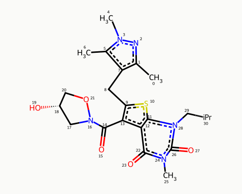 Cc1nn(C)c(C)c1Cc1sc2c(c1C(=O)N1C[C@H](O)CO1)c(=O)n(C)c(=O)n2CC(C)C